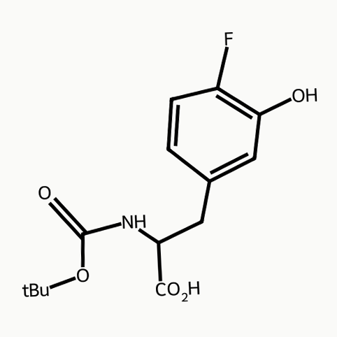 CC(C)(C)OC(=O)NC(Cc1ccc(F)c(O)c1)C(=O)O